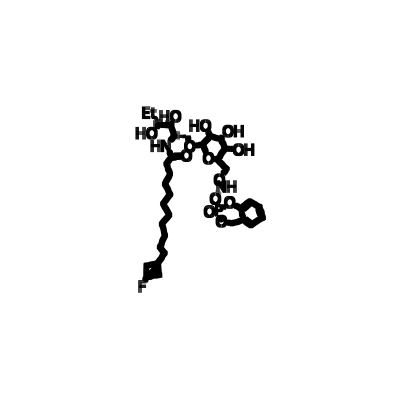 CC[C@@H](O)[C@@H](O)[C@H](COC1OC(CONOP2(=O)OCc3ccccc3O2)C(O)C(O)C1O)NC(=O)CCCCCCCCCCC12CC(F)(C1)C2